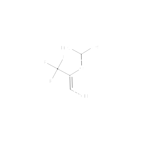 C/C=C(\OC(C)C)C(F)(F)F